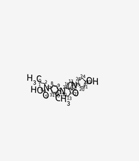 CCCN(C(=O)O)c1ccc(N2CCCC3(CCN(C4CCC(O)CC4)C3=O)C2)c(C)c1